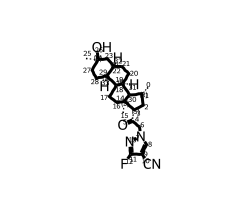 C[C@@H]1C[C@H](C(=O)Cn2cc(C#N)c(F)n2)[C@@]2(C)CCC3[C@@H](CC[C@@H]4C[C@](C)(O)CC[C@H]34)C12